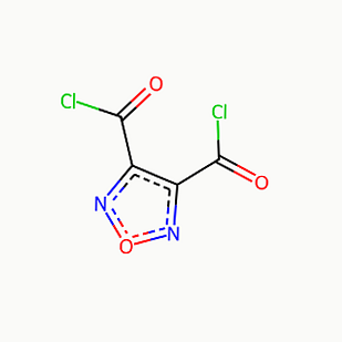 O=C(Cl)c1nonc1C(=O)Cl